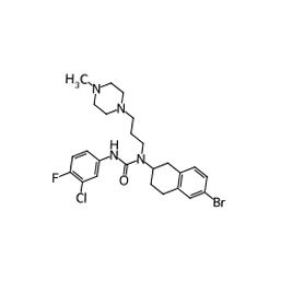 CN1CCN(CCCN(C(=O)Nc2ccc(F)c(Cl)c2)C2CCc3cc(Br)ccc3C2)CC1